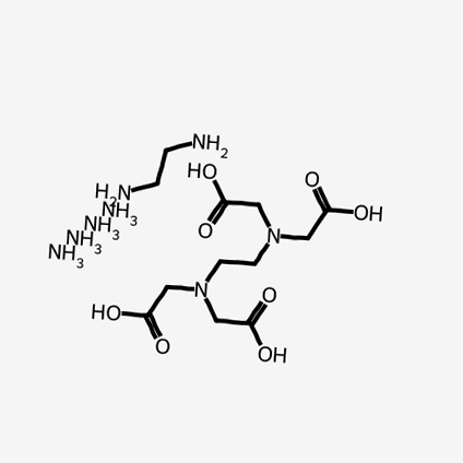 N.N.N.N.NCCN.O=C(O)CN(CCN(CC(=O)O)CC(=O)O)CC(=O)O